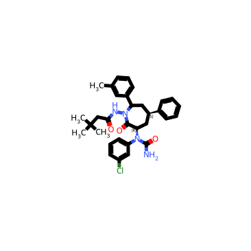 Cc1cccc(C2C[C@@H](c3ccccc3)C[C@@H](N(C(N)=O)c3cccc(Cl)c3)C(=O)N2NC(=O)CC(C)(C)C)c1